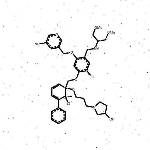 COCC(COC)NCc1cc(Cl)c(OCC2(OCCCN3CCC(O)C3)C=CC=C(c3ccccc3)[C@@]2(C)Cl)cc1OCc1cncc(C#N)c1